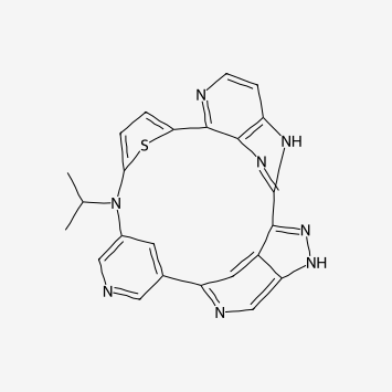 CC(C)n1c2cncc(c2)c2cc3c(cn2)[nH]nc3c2nc3c(ccnc3c3ccc1s3)[nH]2